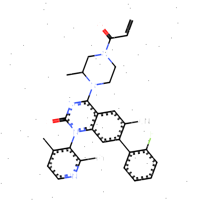 C=CC(=O)N1CCN(c2nc(=O)n(-c3c(C)ccnc3C(C)C)c3cc(-c4ccccc4F)c(C#N)cc23)C(C)C1